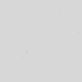 CC(C)(C)OC(=O)NCCCc1nc2c(CI)nc(N)nc2[nH]1